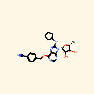 C[C@H]1O[C@@H](n2c(NC3CCCC3)nc3c(OCc4ccc(C#N)cc4)ncnc32)[C@H](O)[C@@H]1O